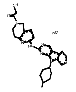 CC1CCC(n2c3cnccc3c3cnc(Nc4ccc5c(n4)CCN(C(=O)CO)C5)nc32)CC1.Cl